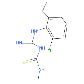 CCc1cccc(Cl)c1NC(=N)NC(=S)NC